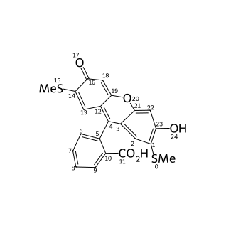 CSc1cc2c(-c3ccccc3C(=O)O)c3cc(SC)c(=O)cc-3oc2cc1O